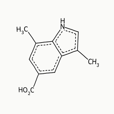 Cc1c[nH]c2c(C)cc(C(=O)O)cc12